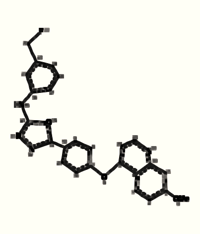 COc1ccc2c(Oc3ccc(-c4nnc(Nc5cccc(CF)c5)o4)cc3)ccnc2c1